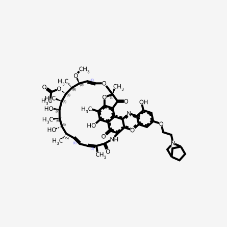 CO[C@H]1/C=C/O[C@@]2(C)Oc3c(C)c(O)c4c(=O)c(c5oc6cc(OCCN7CC8CCC7C8)cc(O)c6nc-5c4c3C2=O)NC(=O)/C(C)=C\C=C\[C@H](C)[C@H](O)[C@@H](C)[C@@H](O)[C@@H](C)[C@H](OC(C)=O)[C@@H]1C